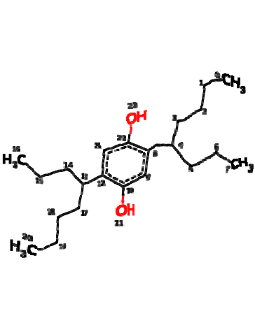 CCCCC(CCC)c1cc(O)c(C(CCC)CCCC)cc1O